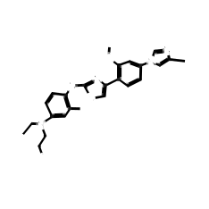 CCN(CCCl)c1ccc(Nc2nc(-c3ccc(-n4cnc(C)c4)cc3OC)cs2)c(C)c1